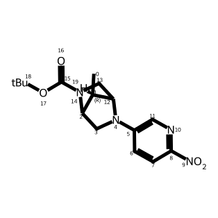 C[C@H]1C2CN(c3ccc([N+](=O)[O-])nc3)C1CN2C(=O)OC(C)(C)C